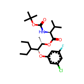 CCC(CC)[C@@H](Oc1cc(F)cc(Cl)c1)[C@H](C)OC(=O)[C@@H](NC(=O)OC(C)(C)C)C(C)C